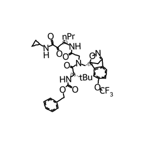 CCC[C@H](NC(=O)CN(C[C@@]12CC(=NO1)c1ccc(OC(F)(F)F)cc12)C(=O)[C@@H](NC(=O)OCc1ccccc1)C(C)(C)C)C(=O)C(=O)NC1CC1